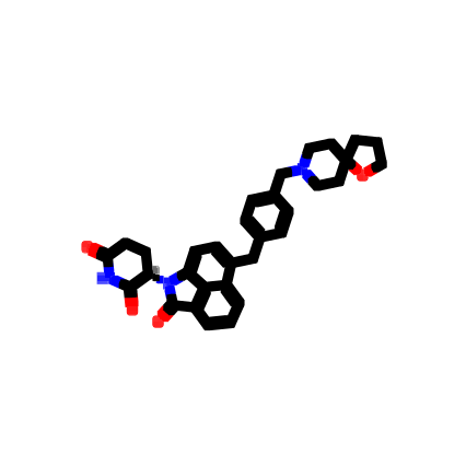 O=C1CC[C@H](N2C(=O)c3cccc4c(Cc5ccc(CN6CCC7(CCCO7)CC6)cc5)ccc2c34)C(=O)N1